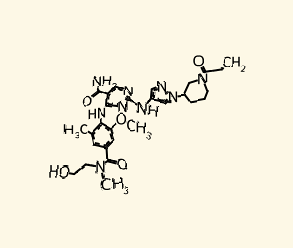 C=CC(=O)N1CCCC(n2cc(Nc3ncc(C(N)=O)c(Nc4c(C)cc(C(=O)N(C)CCO)cc4OC)n3)cn2)C1